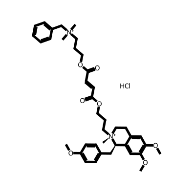 COc1ccc(C[C@@H]2c3cc(OC)c(OC)cc3CC[N@@+]2(C)CCCOC(=O)C=CC(=O)OCCC[N+](C)(C)Cc2ccccc2)cc1.Cl